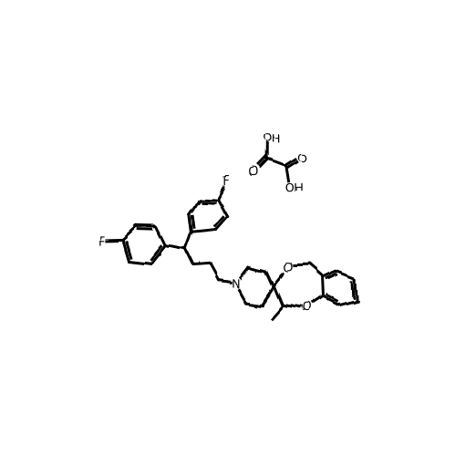 CC1Oc2ccccc2COC12CCN(CCCC(c1ccc(F)cc1)c1ccc(F)cc1)CC2.O=C(O)C(=O)O